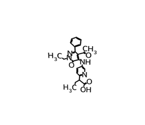 CCC(C(=O)O)c1ccc(Nc2c(C(C)=O)c(-c3ccccc3)nn(CC)c2=O)cn1